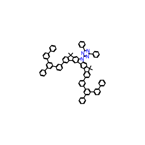 CC1(C)c2ccc(-c3cccc(-c4cc(-c5ccccc5)cc(-c5cccc(-c6ccccc6)c5)c4)c3)cc2-c2cc3c4cc5c(cc4n(-c4nc(-c6ccccc6)nc(-c6ccccc6)n4)c3cc21)C(C)(C)c1ccc(-c2cccc(-c3cc(-c4ccccc4)cc(-c4cccc(-c6ccccc6)c4)c3)c2)cc1-5